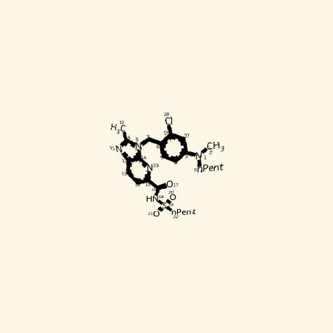 CCCCCN(C)c1ccc(Cn2c(C)nc3ccc(C(=O)NS(=O)(=O)CCCCC)nc32)c(Cl)c1